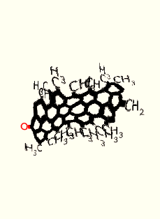 C=C1c2cc(C)c(C)c3c2c2c1cc(C)c1c4c(C)c(C)c5c(C)c6c(C)c7c8c(C)c(C)cc9c(=O)c%10cc(C)c%11c%12c(C)c(C)c%13c(C)c%14c(C)c3c(c21)c1c%14c2c%13c%12c(c6c2c5c41)c7c%11c%10c98